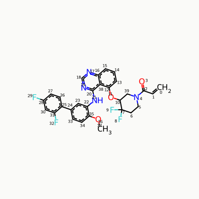 C=CC(=O)N1CCC(F)(F)C(Oc2cccc3ncnc(Nc4cc(-c5ccc(F)cc5F)ccc4OC)c23)C1